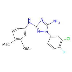 COc1ccc(Nc2nc(N)n(-c3ccc(F)c(Cl)c3)n2)cc1OC